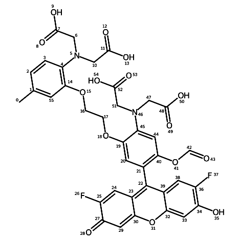 Cc1ccc(N(CC(=O)O)CC(=O)O)c(OCCOc2cc(-c3c4cc(F)c(=O)cc-4oc4cc(O)c(F)cc34)c(OC=O)cc2N(CC(=O)O)CC(=O)O)c1